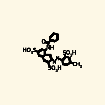 Cc1ccc(/N=N/c2cc3c(NC(=O)c4ccccc4)cc(S(=O)(=O)O)cc3cc2S(=O)(=O)O)c(S(=O)(=O)O)c1